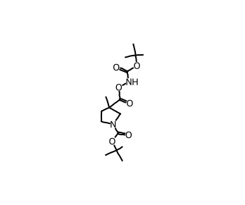 CC(C)(C)OC(=O)NOC(=O)C1(C)CCN(C(=O)OC(C)(C)C)C1